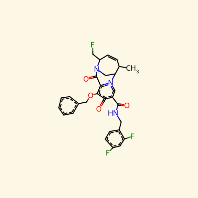 CC1C=CC(CF)N2CC1n1cc(C(=O)NCc3ccc(F)cc3F)c(=O)c(OCc3ccccc3)c1C2=O